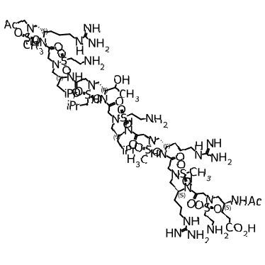 CC(=O)CN(C[C@H](CCCNC(=N)N)NC(=O)CN(C[C@H](CC(C)C)NC(=O)CN(C[C@@H](NC(=O)CN(C[C@H](CC(C)C)NC(=O)CN(C[C@H](CCCNC(=N)N)NC(=O)CN(C[C@H](CCCNC(=N)N)NC(=O)CN(C[C@H](CCC(=O)O)NC(C)=O)S(=O)(=O)CCN)S(C)(=O)=O)S(C)(=O)=O)S(=O)(=O)CCN)C(C)O)S(=O)(=O)CC(C)C)S(=O)(=O)CCN)S(C)(=O)=O